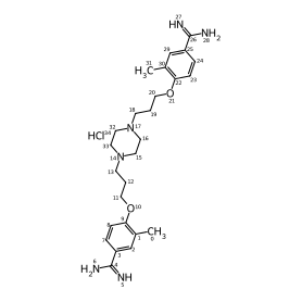 Cc1cc(C(=N)N)ccc1OCCCN1CCN(CCCOc2ccc(C(=N)N)cc2C)CC1.Cl